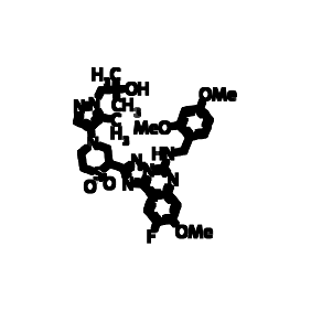 COc1ccc(CNc2nc3cc(OC)c(F)cc3c3nc(C4CN(c5cnn(CC(C)(C)O)c5C)CCS4(=O)=O)nn23)c(OC)c1